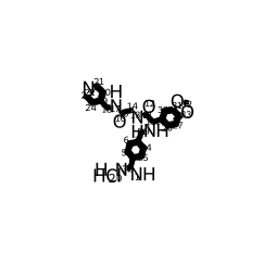 Cl.N=C(N)c1ccc(CNC(C(=O)NCC(=O)NCc2ccncc2)c2ccc3c(c2)OCO3)cc1